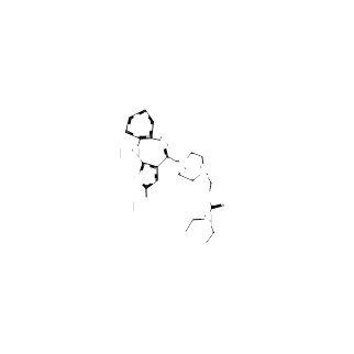 CCN(CC)C(=O)OC[N+]1(C)CCN(C2=Nc3ccccc3Nc3sc(C)cc32)CC1.[I-]